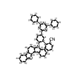 N#Cc1ccccc1-c1cc(-c2nc(-c3ccccc3)nc(-c3ccccc3)n2)ccc1-n1c2ccccc2c2c3oc4ccccc4c3ccc21